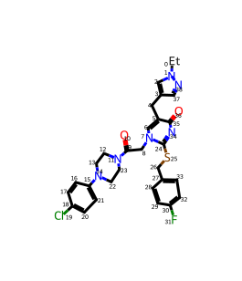 CCn1cc(Cc2cn(CC(=O)N3CCN(c4ccc(Cl)cc4)CC3)c(SCc3ccc(F)cc3)nc2=O)cn1